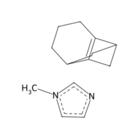 C1CC2=C3CC2CCC3C1.Cn1ccnc1